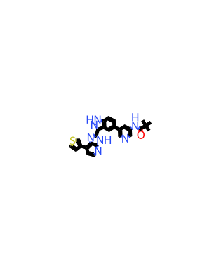 CC(C)(C)C(=O)Nc1cncc(-c2ccc3[nH]nc(-c4nc5c(-c6ccsc6)ccnc5[nH]4)c3c2)c1